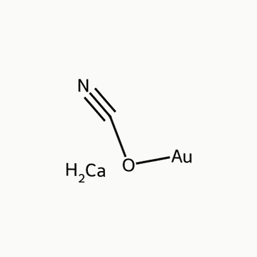 N#C[O][Au].[CaH2]